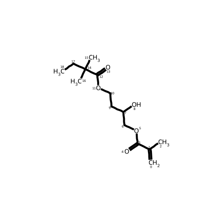 C=C(C)C(=O)OCC(O)CCOC(=O)C(C)(C)CC